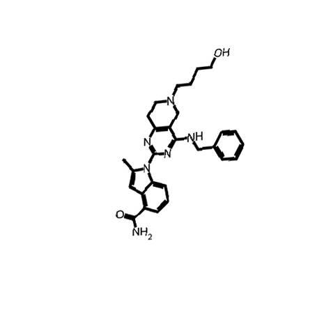 Cc1cc2c(C(N)=O)cccc2n1-c1nc2c(c(NCc3ccccc3)n1)CN(CCCCO)CC2